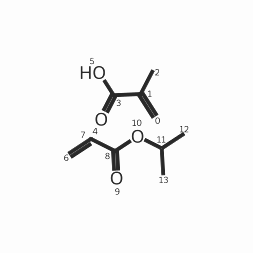 C=C(C)C(=O)O.C=CC(=O)OC(C)C